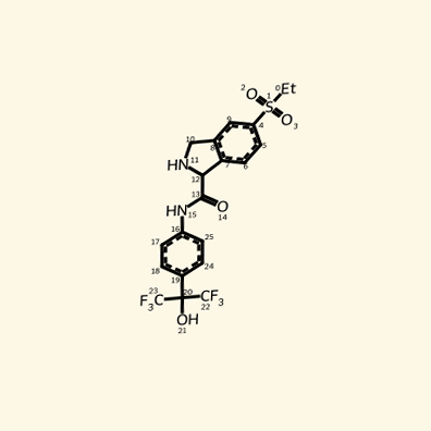 CCS(=O)(=O)c1ccc2c(c1)CNC2C(=O)Nc1ccc(C(O)(C(F)(F)F)C(F)(F)F)cc1